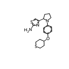 Nc1nc(C2CCCN2c2ccc(OC3CCSCC3)cc2)cs1